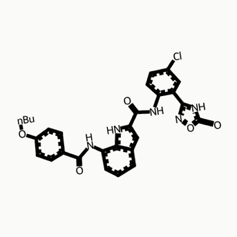 CCCCOc1ccc(C(=O)Nc2cccc3cc(C(=O)Nc4ccc(Cl)cc4-c4noc(=O)[nH]4)[nH]c23)cc1